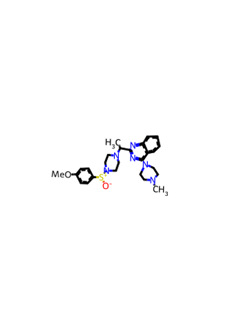 COc1ccc([S+]([O-])N2CCN(C(C)c3nc(N4CCN(C)CC4)c4ccccc4n3)CC2)cc1